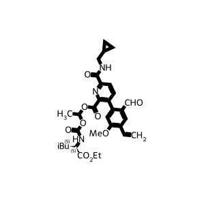 C=Cc1cc(C=O)c(-c2ccc(C(=O)NCC3CC3)nc2C(=O)OC(C)OC(=O)N[C@H](C(=O)OCC)[C@@H](C)CC)cc1OC